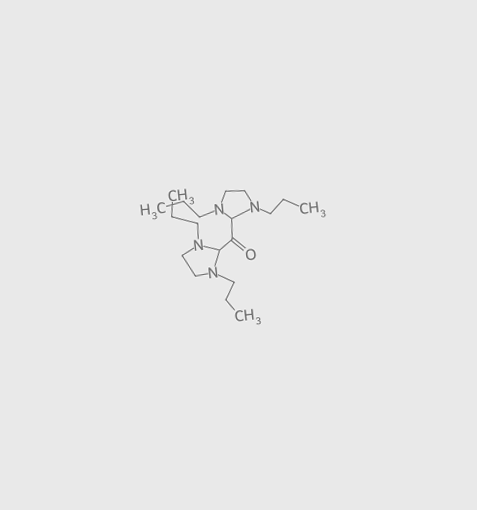 CCCN1CCN(CCC)C1C(=O)C1N(CCC)CCN1CCC